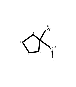 CC(C)C1(OI)CCCC1